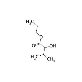 CCCOC(=O)C(O)C(C)C